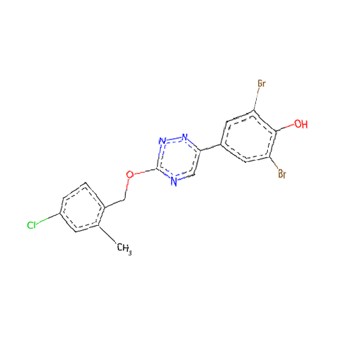 Cc1cc(Cl)ccc1COc1ncc(-c2cc(Br)c(O)c(Br)c2)nn1